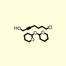 C1CCC(OC2CCCCO2)OC1.OCC#CCCCCCl